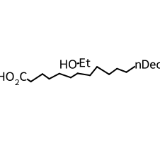 CCCCCCCCCCCCCCCCCCCCCC(=O)O.CCO